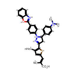 CCCCCCc1cc(/C=C(\C#N)C(=O)O)sc1C1=NN(c2ccc(-c3nc4ccccc4o3)cc2)C(c2ccc(N(CC)CC)cc2)C1